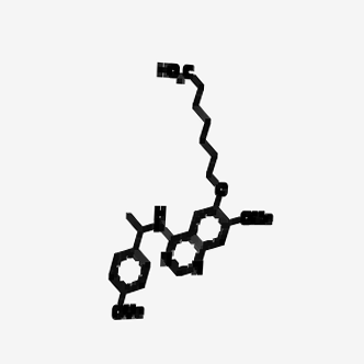 COc1ccc(C(C)Nc2ncnc3cc(OC)c(OCCCCCCC(=O)O)cc23)cc1